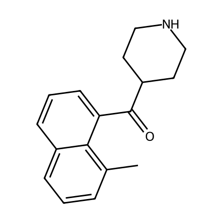 Cc1cccc2cccc(C(=O)C3CCNCC3)c12